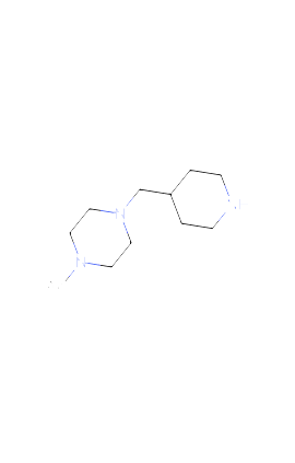 CC(=O)N1CCN(CC2CCNCC2)CC1